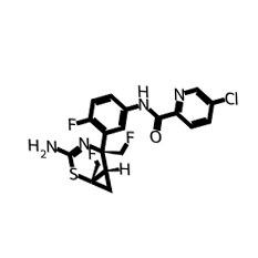 NC1=N[C@](CF)(c2cc(NC(=O)c3ccc(Cl)cn3)ccc2F)[C@@H]2C[C@]2(CF)S1